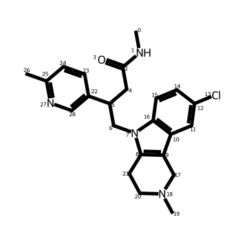 CNC(=O)CC(Cn1c2c(c3cc(Cl)ccc31)CN(C)CC2)c1ccc(C)nc1